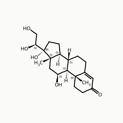 C[C@]12CCC(=O)C=C1CC[C@@H]1[C@@H]2[C@@H](O)C[C@@]2(C)[C@H]1CC[C@]2(O)[C@@H](O)CO